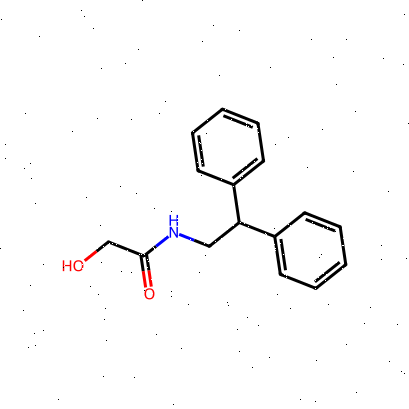 O=C(CO)NCC(c1ccccc1)c1ccccc1